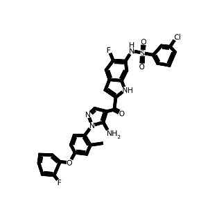 Cc1cc(Oc2ccccc2F)ccc1-n1ncc(C(=O)c2cc3cc(F)c(NS(=O)(=O)c4cccc(Cl)c4)cc3[nH]2)c1N